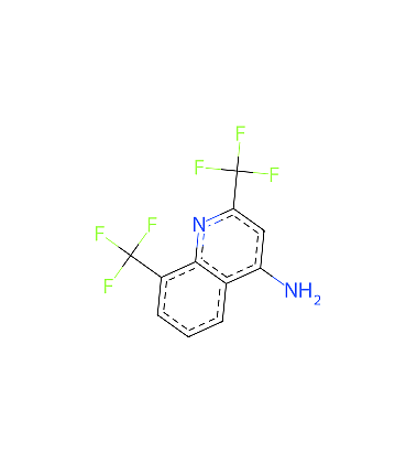 Nc1cc(C(F)(F)F)nc2c(C(F)(F)F)cccc12